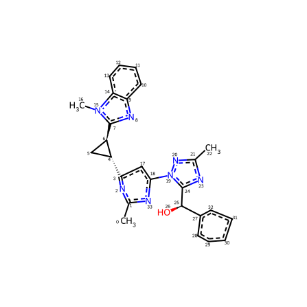 Cc1nc([C@@H]2C[C@H]2c2nc3ccccc3n2C)cc(-n2nc(C)nc2[C@H](O)c2ccccc2)n1